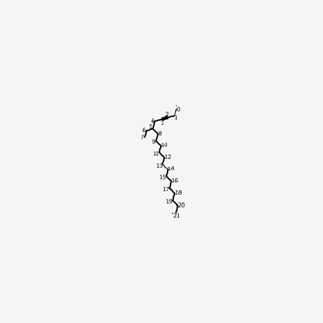 [CH2]CC#CCC(CC)CCCCCCCCCCCCC[CH2]